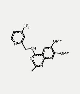 COc1cc2nc(C)nc(NCc3cc(C(F)(F)F)ccn3)c2cc1OC